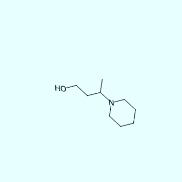 CC(CCO)N1CCCCC1